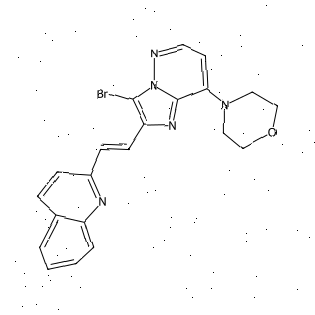 Brc1c(C=Cc2ccc3ccccc3n2)nc2c(N3CCOCC3)ccnn12